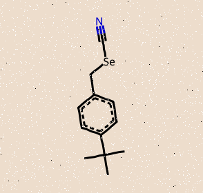 CC(C)(C)c1ccc(C[Se]C#N)cc1